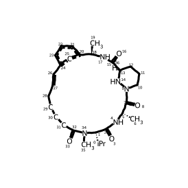 CC(C)[C@H]1C(=O)N[C@@H](C)C(=O)N2CCC[C@H](N2)C(=O)N[C@H](C)c2cccc(c2)/C=C/CCCCC(=O)N1C